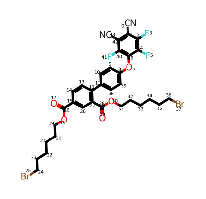 N#Cc1c(F)c(F)c(Oc2ccc(-c3ccc(C(=O)OCCCCCCBr)cc3C(=O)OCCCCCCBr)cc2)c(F)c1C#N